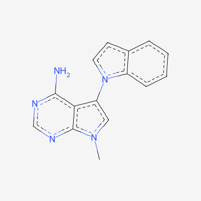 Cn1cc(-n2ccc3ccccc32)c2c(N)ncnc21